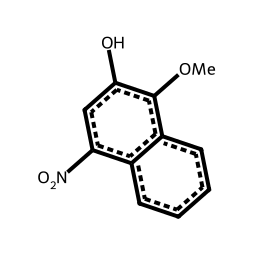 COc1c(O)cc([N+](=O)[O-])c2ccccc12